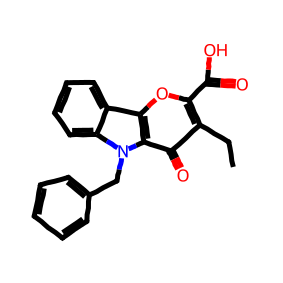 CCc1c(C(=O)O)oc2c3ccccc3n(Cc3ccccc3)c2c1=O